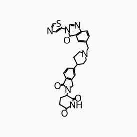 O=C1CCC(N2Cc3cc(C4CCN(Cc5ccc6ncn(-c7cncs7)c(=O)c6c5)CC4)ccc3C2=O)C(=O)N1